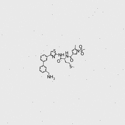 CSCC[C@H](NC(=O)c1cc(C)n(S(C)(=O)=O)c1)C(=O)Nc1nc(-c2cccc(-c3cccc(CN)c3)c2)cs1